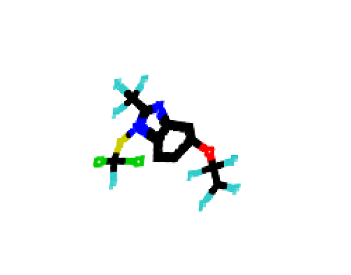 FC(F)C(F)(F)Oc1ccc2c(c1)nc(C(F)(F)F)n2SC(F)(Cl)Cl